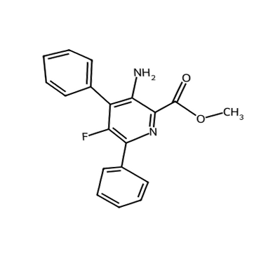 COC(=O)c1nc(-c2ccccc2)c(F)c(-c2ccccc2)c1N